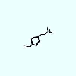 CN(C)CCc1ccc(C=O)cc1